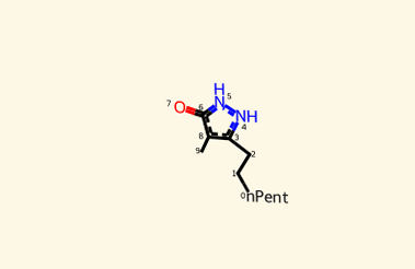 CCCCCCCc1[nH][nH]c(=O)c1C